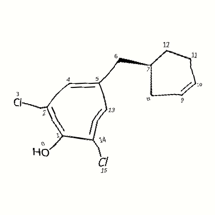 Oc1c(Cl)cc(C[C@@H]2CC=CCC2)cc1Cl